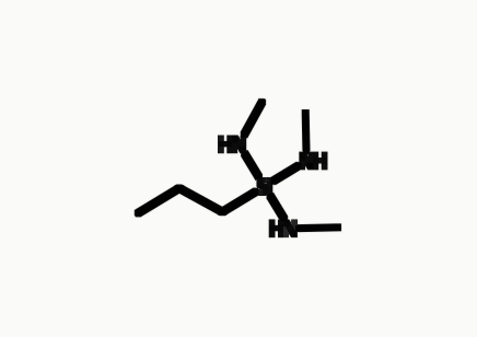 CCC[Si](NC)(NC)NC